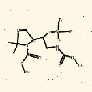 CC(C)[Si](OC(CNC(=O)OC(C)(C)C)[C@@H]1COC(C)(C)N1C(=O)OC(C)(C)C)(C(C)C)C(C)C